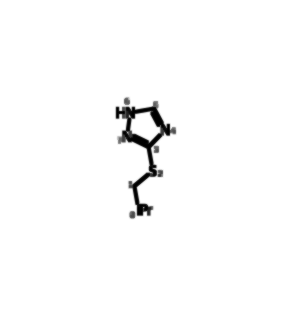 CC(C)CSc1nc[nH]n1